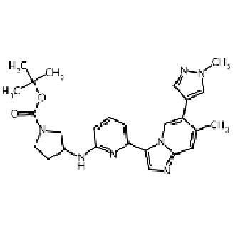 Cc1cc2ncc(-c3cccc(NC4CCN(C(=O)OC(C)(C)C)C4)n3)n2cc1-c1cnn(C)c1